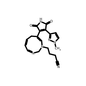 Cn1ccc(C2=C(/C3=C/N(CCCC#N)C/N=C\C=C/C3)C(=O)NC2=O)n1